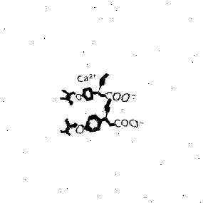 CC#C[C@@H](CC(=O)[O-])c1ccc(OCC(C)=C(C)C)cc1.CC#C[C@@H](CC(=O)[O-])c1ccc(OCC(C)=C(C)C)cc1.[Ca+2]